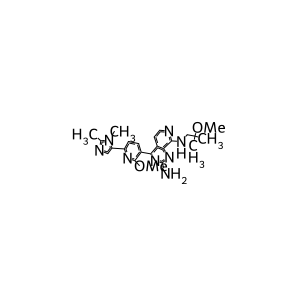 COc1nc(-c2cnc(C)n2C)ccc1-c1nc(N)nc2c(NCC(C)(C)OC)nccc12